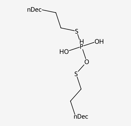 CCCCCCCCCCCCSO[PH](O)(O)SCCCCCCCCCCCC